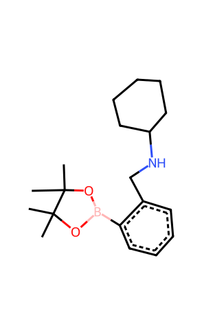 CC1(C)OB(c2ccccc2CNC2CCCCC2)OC1(C)C